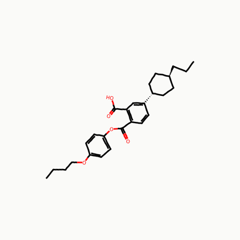 CCCCOc1ccc(OC(=O)c2ccc([C@H]3CC[C@H](CCC)CC3)cc2C(=O)O)cc1